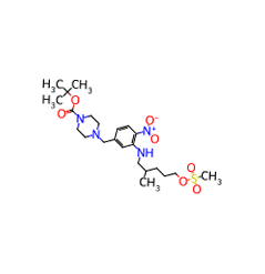 CC(CCCOS(C)(=O)=O)CNc1cc(CN2CCN(C(=O)OC(C)(C)C)CC2)ccc1[N+](=O)[O-]